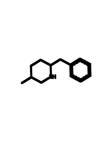 CC1CCC(Cc2ccccc2)NC1